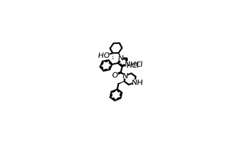 C[C@]1(O)CCCC[C@H]1n1cnc(C(=O)N2CCNC[C@H]2Cc2ccccc2)c1-c1ccccc1.Cl.Cl